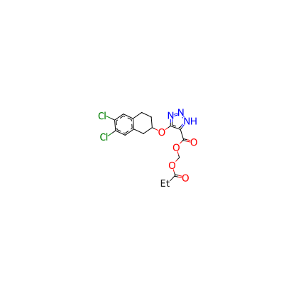 CCC(=O)OCOC(=O)c1[nH]nnc1OC1CCc2cc(Cl)c(Cl)cc2C1